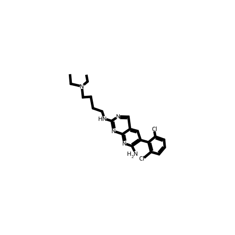 CCN(CC)CCCCNc1ncc2cc(-c3c(Cl)cccc3Cl)c(N)nc2n1